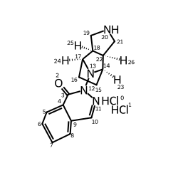 Cl.Cl.O=c1c2ccccc2cnn1N1[C@@H]2CC[C@H]1[C@H]1CNC[C@H]12